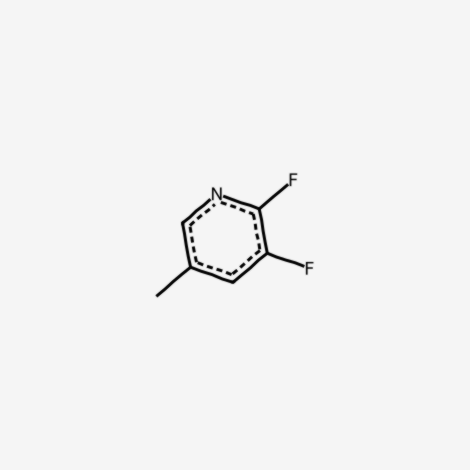 Cc1cnc(F)c(F)c1